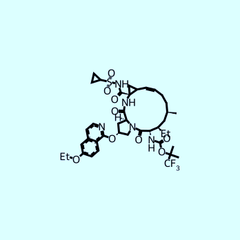 CCOc1ccc2c(O[C@@H]3C[C@H]4C(=O)N[C@]5(C(=O)NS(=O)(=O)C6CC6)CC5/C=C\CC[C@@H](C)C[C@@H](CC)[C@H](NC(=O)OC(C)(C)C(F)(F)F)C(=O)N4C3)nccc2c1